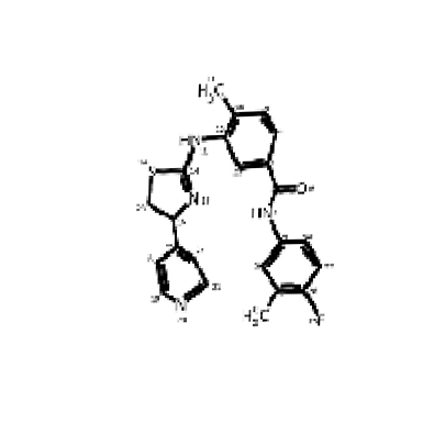 Cc1cc(NC(=O)c2ccc(C)c(NC3=NC(c4ccncc4)CS3)c2)ccc1F